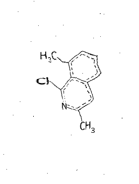 Cc1cc2cccc(C)c2c(Cl)n1